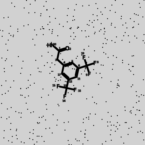 [NH]C(=O)Cc1cc(C(F)(F)F)cc(C(F)(F)F)c1